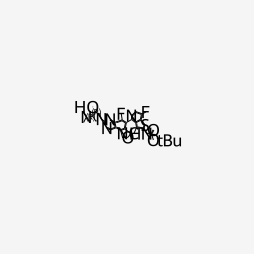 CN(C)[C@@H]1CN(c2ncc3c4c(c(-c5ncc(F)c6sc(NC(=O)OC(C)(C)C)c(C#N)c56)c(F)c3n2)COC4)C[C@H]1O